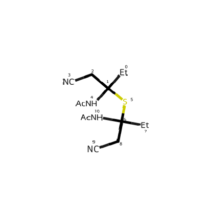 CCC(CC#N)(NC(C)=O)SC(CC)(CC#N)NC(C)=O